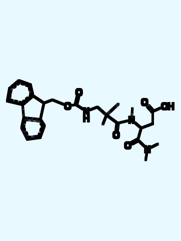 CN(C)C(=O)C(CC(=O)O)N(C)C(=O)C(C)(C)CNC(=O)OCC1c2ccccc2-c2ccccc21